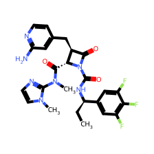 CC[C@@H](NC(=O)N1C(=O)[C@H](Cc2ccnc(N)c2)[C@H]1C(=O)N(C)c1nccn1C)c1cc(F)c(F)c(F)c1